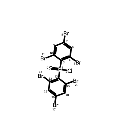 S=P(Cl)(c1c(Br)cc(Br)cc1Br)c1c(Br)cc(Br)cc1Br